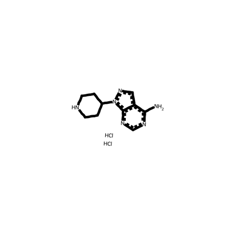 Cl.Cl.Nc1ncnc2c1cnn2C1CCNCC1